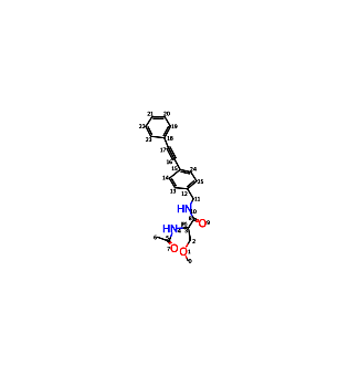 COC[C@@H](NC(C)=O)C(=O)NCc1ccc(C#Cc2ccccc2)cc1